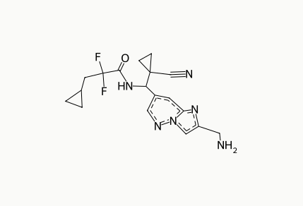 N#CC1(C(NC(=O)C(F)(F)CC2CC2)c2cnn3cc(CN)nc3c2)CC1